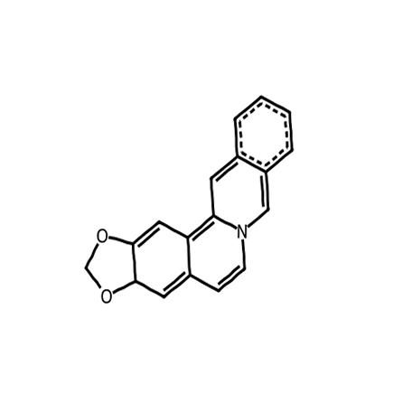 C1=CN2C=c3ccccc3=CC2=C2C=C3OCOC3C=C12